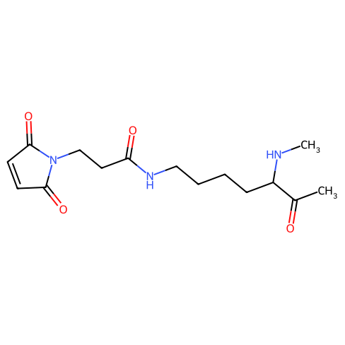 CNC(CCCCNC(=O)CCN1C(=O)C=CC1=O)C(C)=O